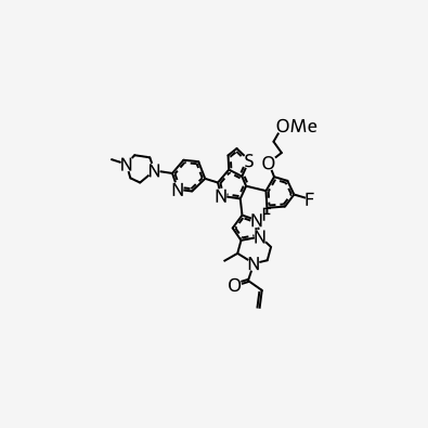 C=CC(=O)N1CCn2nc(-c3nc(-c4ccc(N5CCN(C)CC5)nc4)c4ccsc4c3-c3c(F)cc(F)cc3OCCOC)cc2C1C